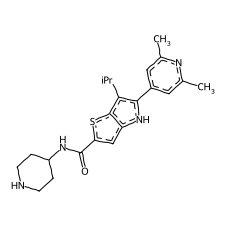 Cc1cc(-c2[nH]c3cc(C(=O)NC4CCNCC4)sc3c2C(C)C)cc(C)n1